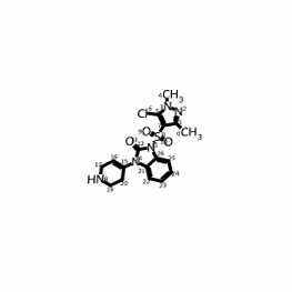 Cc1nn(C)c(Cl)c1S(=O)(=O)n1c(=O)n(C2=CCNCC2)c2ccccc21